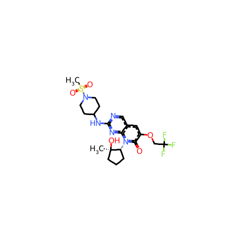 C[C@@]1(O)CCC[C@H]1n1c(=O)c(OCC(F)(F)F)cc2cnc(NC3CCN(S(C)(=O)=O)CC3)nc21